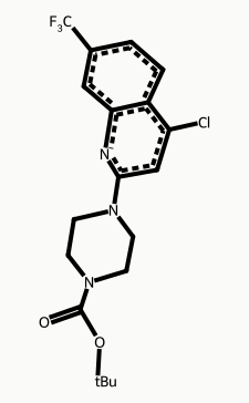 CC(C)(C)OC(=O)N1CCN(c2cc(Cl)c3ccc(C(F)(F)F)cc3n2)CC1